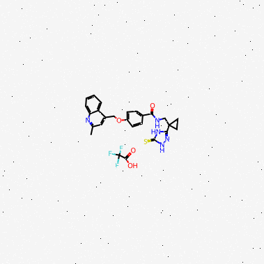 Cc1cc(COc2ccc(C(=O)NCC3(c4n[nH]c(=S)[nH]4)CC3)cc2)c2ccccc2n1.O=C(O)C(F)(F)F